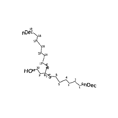 CCCCCCCCCCCCCCCCSC(CCO)SCCCCCCCCCCCCCCCC